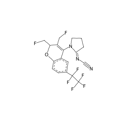 N#CN=C1CCCN1C1=C(CF)C(CF)Oc2ccc(C(F)(F)C(F)(F)F)cc21